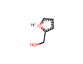 OCc1ccco1.[H+]